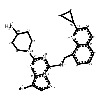 CC(C)c1cnn2c(NCc3cccc4ccc(C5CC5)nc34)nc(N3CCC(N)CC3)nc12